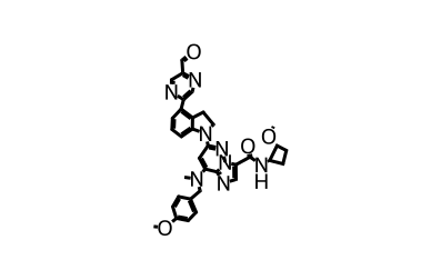 COc1ccc(CN(C)c2cc(N3CCc4c(-c5cnc(C=O)cn5)cccc43)nn3c(C(=O)N[C@@H]4CC[C@H]4OC)cnc23)cc1